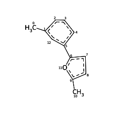 Cc1cccc(-c2ccc(C)o2)c1